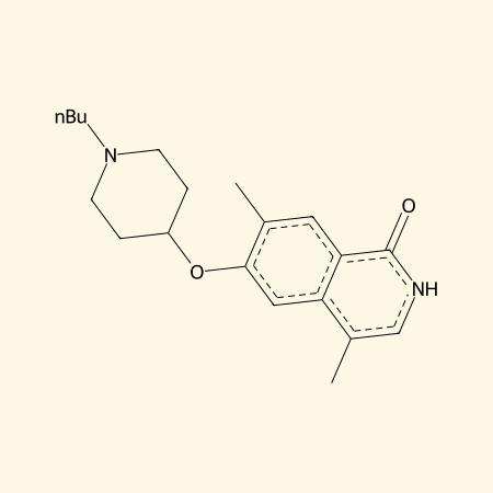 CCCCN1CCC(Oc2cc3c(C)c[nH]c(=O)c3cc2C)CC1